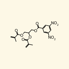 C=C(C)C(=O)OCC(COC(=O)c1cc([N+](=O)[O-])cc([N+](=O)[O-])c1)OC(=O)C(=C)C